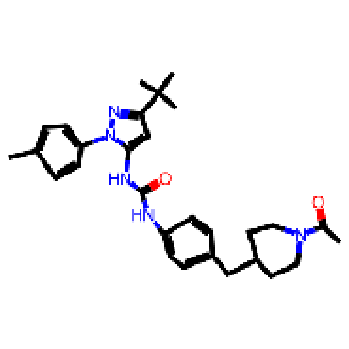 CC(=O)N1CCC(Cc2ccc(NC(=O)Nc3cc(C(C)(C)C)nn3-c3ccc(C)cc3)cc2)CC1